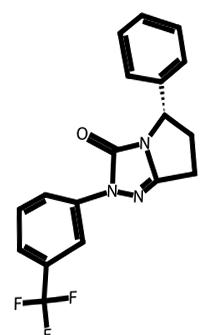 O=c1n(-c2cccc(C(F)(F)F)c2)nc2n1[C@H](c1ccccc1)CC2